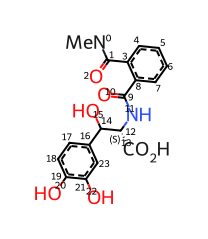 CNC(=O)c1ccccc1C(=O)N[C@H](C(=O)O)C(O)c1ccc(O)c(O)c1